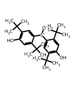 CC(C)(C)c1cc([S+]([O-])c2cc(C(C)(C)C)c(O)cc2C(C)(C)C)c(C(C)(C)C)cc1O